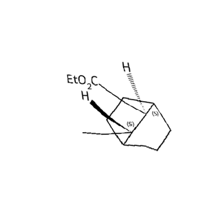 CCOC(=O)[C@H]1C2CCC(CC2)[C@@H]1C